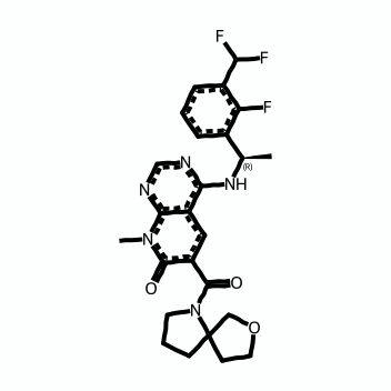 C[C@@H](Nc1ncnc2c1cc(C(=O)N1CCCC13CCOC3)c(=O)n2C)c1cccc(C(F)F)c1F